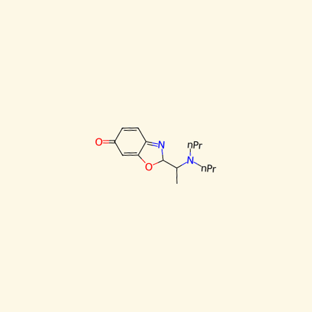 CCCN(CCC)C(C)C1N=C2C=CC(=O)C=C2O1